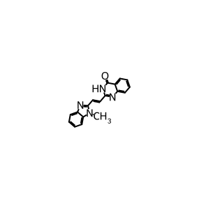 Cn1c(C=Cc2nc3ccccc3c(=O)[nH]2)nc2ccccc21